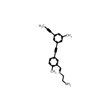 CC#Cc1cc(C)cc(C#Cc2ccc(C)c(/C=N/CCN)c2)c1